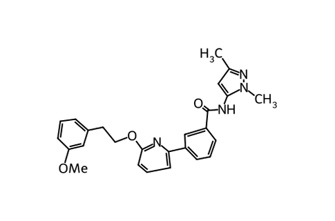 COc1cccc(CCOc2cccc(-c3cccc(C(=O)Nc4cc(C)nn4C)c3)n2)c1